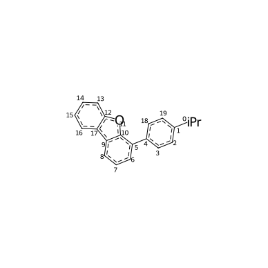 CC(C)c1ccc(-c2cccc3c2oc2ccccc23)cc1